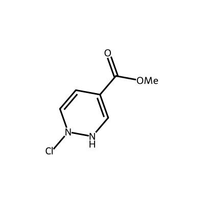 COC(=O)C1=CNN(Cl)C=C1